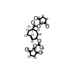 C[C@@]1(C(=O)ON2C(=O)CCC2=O)CC/C=C/[C@H](OC(=O)ON2C(=O)CCC2=O)CC1